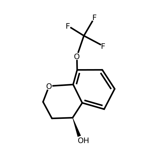 O[C@H]1CCOc2c(OC(F)(F)F)cccc21